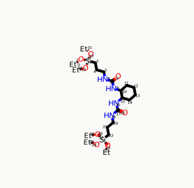 CCO[Si](CCCNC(=O)NC1CCCCC1NC(=O)NCCC[Si](OCC)(OCC)OCC)(OCC)OCC